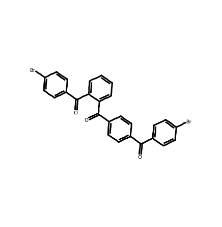 O=C(c1ccc(Br)cc1)c1ccc(C(=O)c2ccccc2C(=O)c2ccc(Br)cc2)cc1